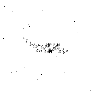 CCCCCCCC1CCC([C@H]2CC[C@@H]3C[C@](C#N)(CCCCCC)CC[C@@H]3C2)CC1